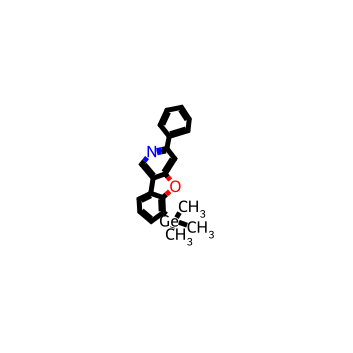 [CH3][Ge]([CH3])([CH3])[c]1cccc2c1oc1cc(-c3ccccc3)ncc12